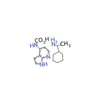 CC(N)C1CCCCC1.O=C(O)Nc1ccnc2[nH]ccc12